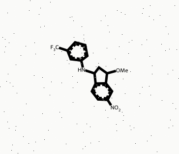 COC1CC(Nc2cccc(C(F)(F)F)c2)c2ccc([N+](=O)[O-])cc21